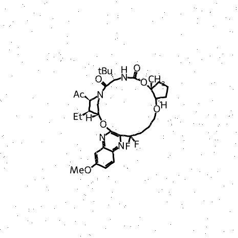 CC[C@@H]1[C@@H]2CN(C(=O)[C@H](C(C)(C)C)NC(=O)O[C@]3(C)CCC[C@H]3OCCCC(F)(F)c3nc4ccc(OC)cc4nc3O2)[C@@H]1C(C)=O